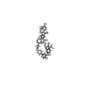 CNC(=O)COc1cc2cc(Nc3nc(N4CCC(OC5CC(N6CCCN(c7ccc8c(c7C)C(=O)N(C7CCC(=O)NC7=O)C8=O)CC6)C5)CC4)ncc3Cl)ccc2n(C(C)C)c1=O